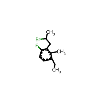 CCc1ccc(F)c(CC(C)Br)c1C